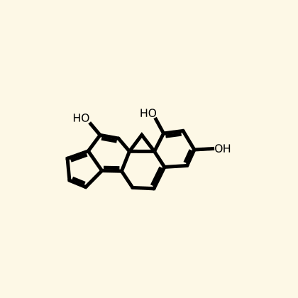 OC1=CC2=CCC3=C4C=CC=C4C(O)=CC34CC24C(O)=C1